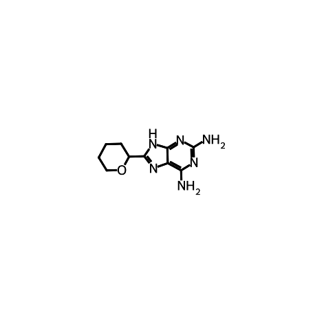 Nc1nc(N)c2nc(C3CCCCO3)[nH]c2n1